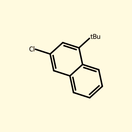 CC(C)(C)c1cc(Cl)cc2ccccc12